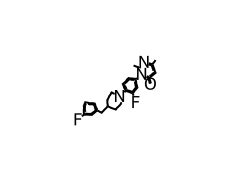 Cc1cc(=O)n(-c2ccc(N3CCC(Cc4cccc(F)c4)CC3)c(F)c2)c(C)n1